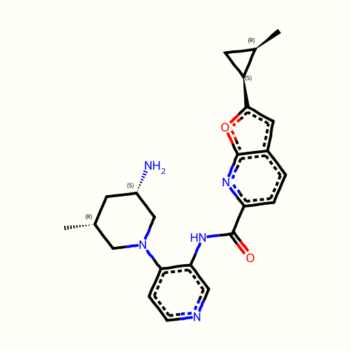 C[C@@H]1C[C@H](N)CN(c2ccncc2NC(=O)c2ccc3cc([C@H]4C[C@H]4C)oc3n2)C1